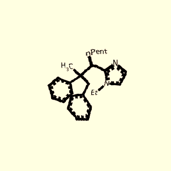 CCCCCC(c1nccn1CC)C(C)(Cc1ccccc1)c1ccccc1